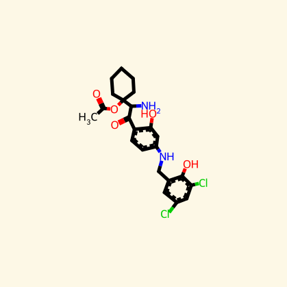 CC(=O)OC1(C(N)C(=O)c2ccc(NCc3cc(Cl)cc(Cl)c3O)cc2O)CCCCC1